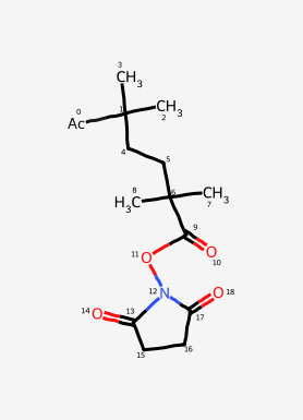 CC(=O)C(C)(C)CCC(C)(C)C(=O)ON1C(=O)CCC1=O